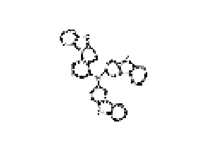 c1ccc2c(c1)oc1ccc(N(c3ccc4sc5ccccc5c4c3)c3cccc4c3ccc3oc5ccccc5c34)cc12